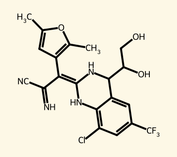 Cc1cc(/C(C(=N)C#N)=C2/Nc3c(Cl)cc(C(F)(F)F)cc3C(C(O)CO)N2)c(C)o1